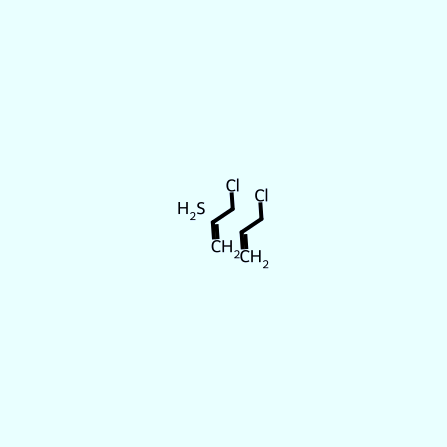 C=CCCl.C=CCCl.S